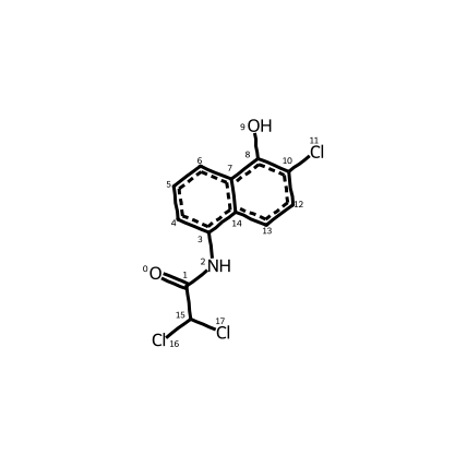 O=C(Nc1cccc2c(O)c(Cl)ccc12)C(Cl)Cl